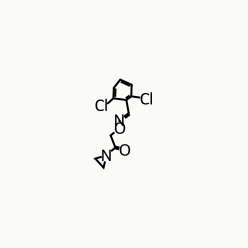 O=C(CO/N=C/c1c(Cl)cccc1Cl)N1CC1